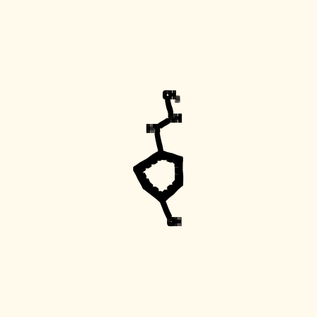 CNNc1ccc(O)cc1